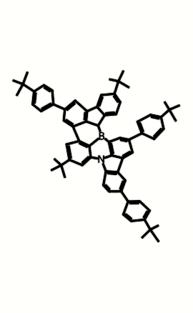 CC(C)(C)c1ccc(-c2cc3c4c(c2)-c2cc(C(C)(C)C)cc5c2B(c2cc(-c6ccc(C(C)(C)C)cc6)cc6c7cc(-c8ccc(C(C)(C)C)cc8)ccc7n-5c26)C4c2ccc(C(C)(C)C)cc2-3)cc1